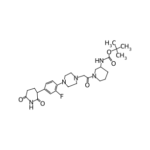 CC(C)(C)OC(=O)NC1CCCN(C(=O)CN2CCN(c3ccc(C4CCC(=O)NC4=O)cc3F)CC2)C1